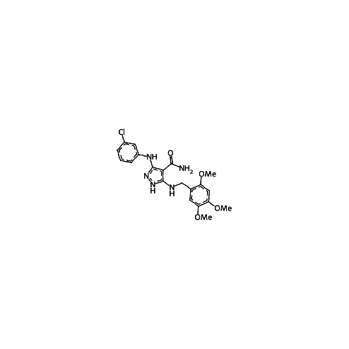 COc1cc(OC)c(OC)cc1CNc1[nH]nc(Nc2cccc(Cl)c2)c1C(N)=O